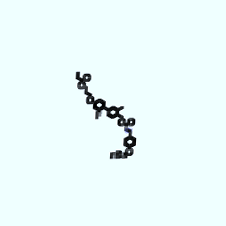 C=CC(=O)OCCCOc1ccc(-c2ccc(COC(=O)/C=C/c3ccc(OCCCC)cc3)c(C)c2)c(F)c1